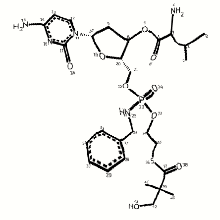 CC(C)C(N)C(=O)OC1C[C@@H](n2ccc(N)nc2=O)O[C@H]1COP(=O)(NCc1ccccc1)OCCSC(=O)C(C)(C)CO